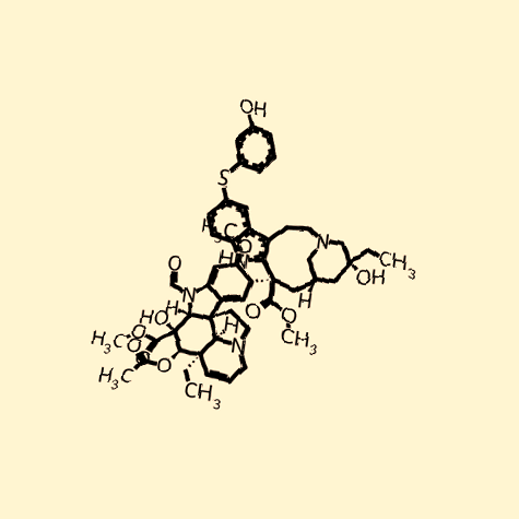 CC[C@]1(O)C[C@H]2CN(CCc3c([nH]c4ccc(Sc5cccc(O)c5)cc34)[C@@](C(=O)OC)(C3C=C4C(=CC3OC)N(C=O)[C@H]3[C@@](O)(C(=O)OC)[C@H](OC(C)=O)[C@]5(CC)C=CCN6CC[C@]43[C@@H]65)C2)C1